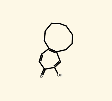 O=c1ccc2c(cc1O)CCCCCCCC2